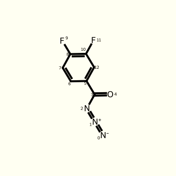 [N-]=[N+]=NC(=O)c1ccc(F)c(F)c1